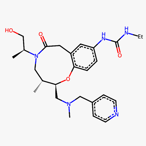 CCNC(=O)Nc1ccc2c(c1)CC(=O)N([C@@H](C)CO)C[C@@H](C)[C@H](CN(C)Cc1ccncc1)O2